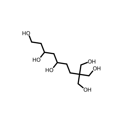 OCCC(O)CC(O)CCC(CO)(CO)CO